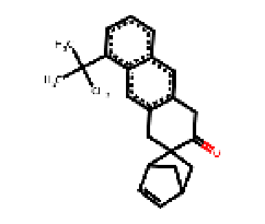 CC(C)(C)c1cccc2cc3c(cc12)CC1(CC2C=CC1C2)C(=O)C3